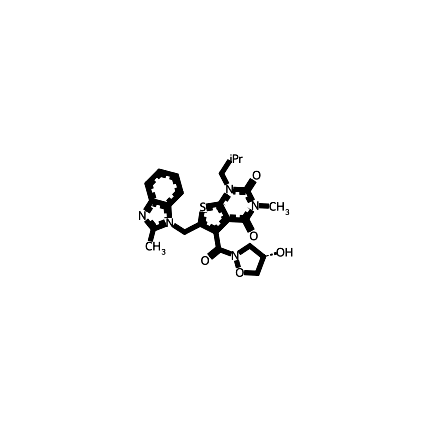 Cc1nc2ccccc2n1Cc1sc2c(c1C(=O)N1C[C@H](O)CO1)c(=O)n(C)c(=O)n2CC(C)C